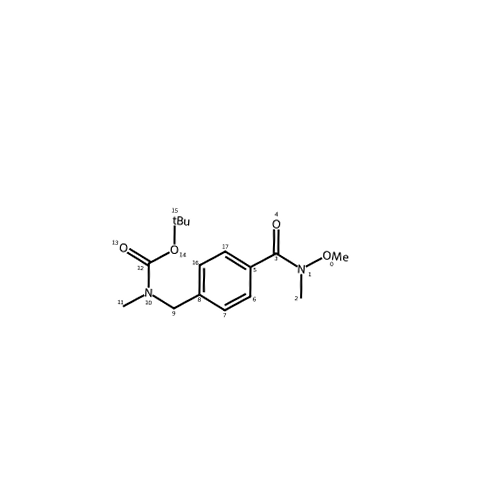 CON(C)C(=O)c1ccc(CN(C)C(=O)OC(C)(C)C)cc1